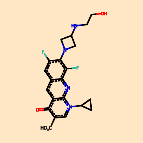 O=C(O)c1cn(C2CC2)c2nc3c(F)c(N4CC(NCCO)C4)c(F)cc3cc2c1=O